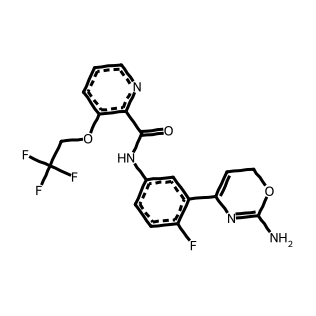 NC1=NC(c2cc(NC(=O)c3ncccc3OCC(F)(F)F)ccc2F)=CCO1